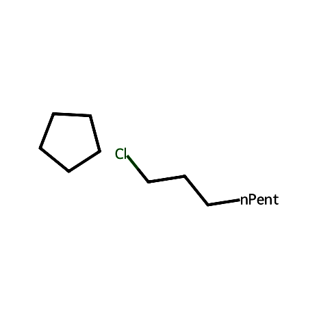 C1CCCC1.CCCCCCCCCl